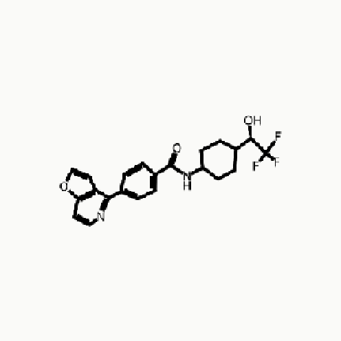 O=C(NC1CCC([C@@H](O)C(F)(F)F)CC1)c1ccc(-c2nccc3occc23)cc1